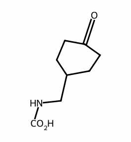 O=C1CCC(CNC(=O)O)CC1